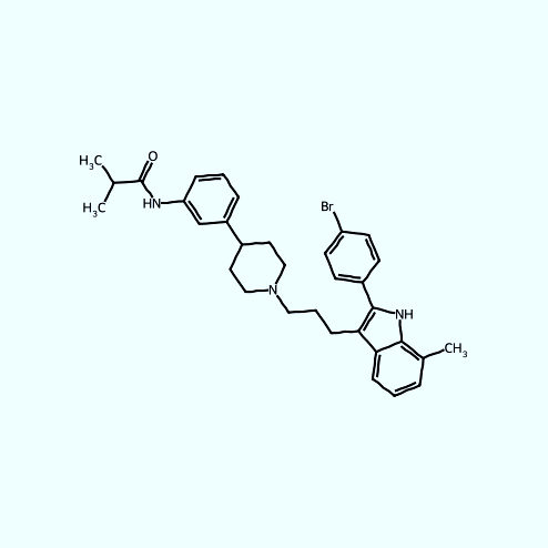 Cc1cccc2c(CCCN3CCC(c4cccc(NC(=O)C(C)C)c4)CC3)c(-c3ccc(Br)cc3)[nH]c12